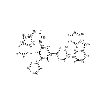 c1ccc(-c2nc(-c3ccc(-c4cccc5oc6ccccc6c45)cc3)cc(-c3cccc4oc5ccccc5c34)n2)cc1